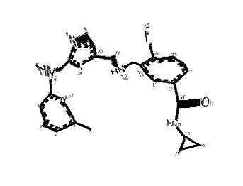 Cc1cccc(Nc2ncc(CNc3cc(C(=O)NC4CC4)ccc3F)s2)n1